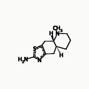 CN1CCC[C@H]2Cc3nc(N)sc3C[C@@H]21